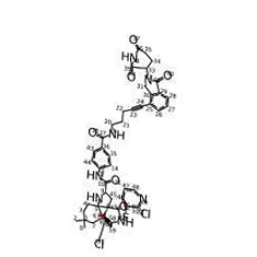 CC1(C)CCC2(CC1)N[C@@H](C(=O)Nc1ccc(C(=O)NCCCC#Cc3cccc4c3CN(C3CCC(=O)NC3=O)C4=O)cc1)[C@H](c1ccnc(Cl)c1F)[C@]21C(=O)Nc2cc(Cl)ccc21